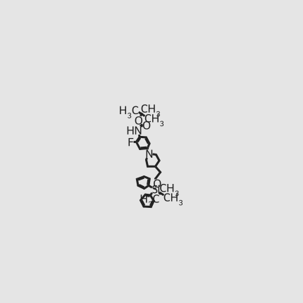 CC(C)(C)OC(=O)Nc1ccc(N2CCC(CCO[Si](c3ccccc3)(c3ccccc3)C(C)(C)C)CC2)cc1F